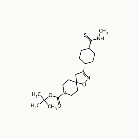 CNC(=S)[C@H]1CC[C@H](C2=NOC3(CCN(C(=O)OC(C)(C)C)CC3)C2)CC1